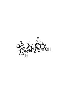 CCOC(=O)C1CCC(O)CC1c1ncc(-c2cc(C)cc(Nc3cc(C(=O)OC)ccn3)n2)s1